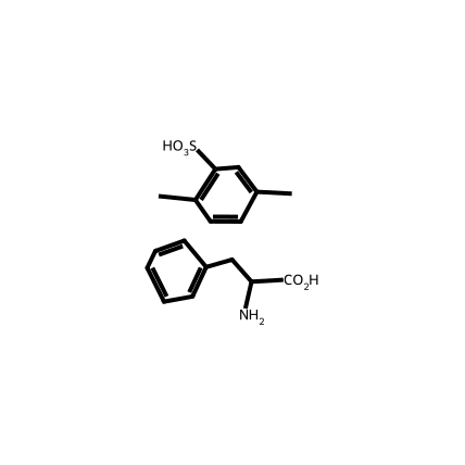 Cc1ccc(C)c(S(=O)(=O)O)c1.NC(Cc1ccccc1)C(=O)O